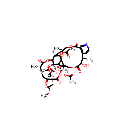 COC(=O)C[C@@H]1C(=O)CC[C@H](C)C(=O)O[C@H]2[C@@H](OC(C)=O)[C@]3(COC1=O)[C@@H](OC(C)=O)[C@@H](OC(C)=O)[C@@H]1OC(=O)[C@H](O)[C@H](C)c4ccncc4C(=O)OC[C@]4(C)O[C@@]3(C(OC(C)=O)[C@@H]24)[C@@]1(C)O